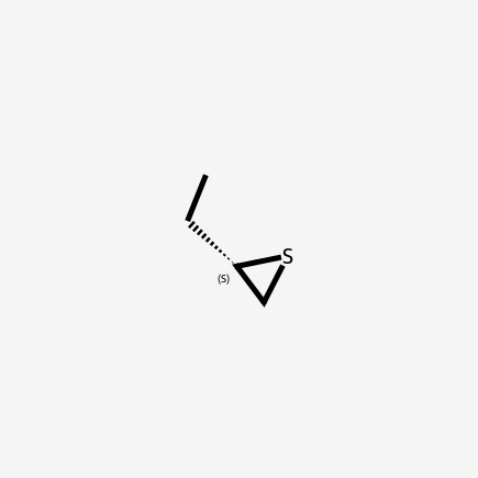 CC[C@H]1CS1